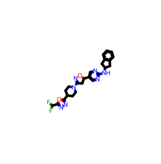 FC(F)c1nnc(C2CCN(C3=NOC(c4cnc(NC5Cc6ccccc6C5)nc4)C3)CC2)o1